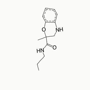 CCCNC(=O)C1(C)CNc2ccccc2O1